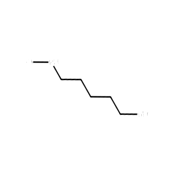 CCCCCCCCPCl